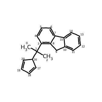 CC(C)(c1cccc2c1Cc1ccccc1-2)C1C=CC=C1